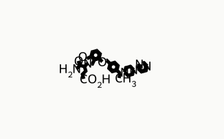 CC(c1ccc(COc2cccc3c2CN(C(CCC(=O)O)C(N)=O)C3=O)cc1)N1CCN(c2ccncn2)CC1